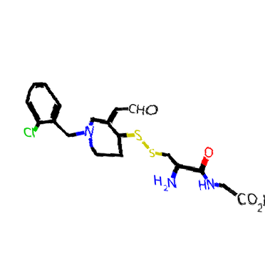 NC(CSSC1CCN(Cc2ccccc2Cl)C/C1=C/C=O)C(=O)NCC(=O)O